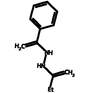 C=C(CC)NNC(=C)c1ccccc1